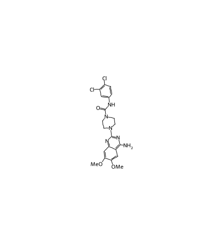 COc1cc2nc(N3CCN(C(=O)Nc4ccc(Cl)c(Cl)c4)CC3)nc(N)c2cc1OC